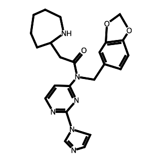 O=C(CC1CCCCCN1)N(Cc1ccc2c(c1)OCO2)c1ccnc(-n2ccnc2)n1